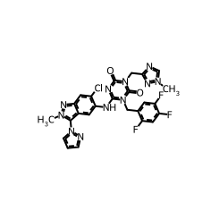 Cn1cnc(Cn2c(=O)nc(Nc3cc4c(-n5cccn5)n(C)nc4cc3Cl)n(Cc3cc(F)c(F)cc3F)c2=O)n1